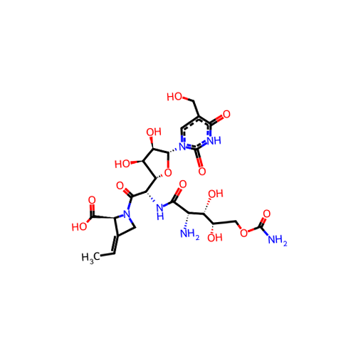 C/C=C1/CN(C(=O)[C@@H](NC(=O)[C@@H](N)[C@H](O)[C@@H](O)COC(N)=O)[C@H]2O[C@@H](n3cc(CO)c(=O)[nH]c3=O)[C@H](O)[C@@H]2O)[C@@H]1C(=O)O